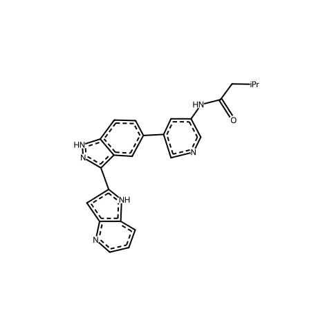 CC(C)CC(=O)Nc1cncc(-c2ccc3[nH]nc(-c4cc5ncccc5[nH]4)c3c2)c1